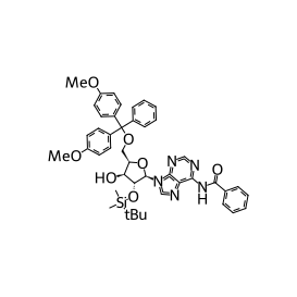 COc1ccc(C(OC[C@H]2O[C@@H](n3cnc4c(NC(=O)c5ccccc5)ncnc43)[C@H](O[Si](C)(C)C(C)(C)C)[C@H]2O)(c2ccccc2)c2ccc(OC)cc2)cc1